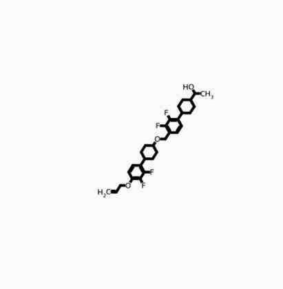 C=CCOc1ccc(C2CCC(OCc3ccc(C4CCC(C(C)O)CC4)c(F)c3F)CC2)c(F)c1F